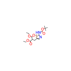 CCOC(=O)C(Cc1cnc(NC(=O)OC(C)(C)C)s1)C(=O)OCC